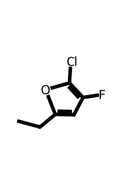 CCc1cc(F)c(Cl)o1